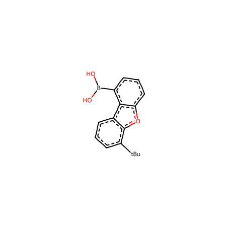 CC(C)(C)c1cccc2c1oc1cccc(B(O)O)c12